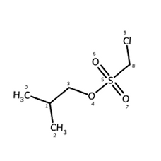 CC(C)COS(=O)(=O)CCl